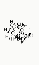 CCN(C)O[Si]1(ON(C)CC)O[Si](C)(C)O[Si](C)(C)O[Si](C)(C)O1